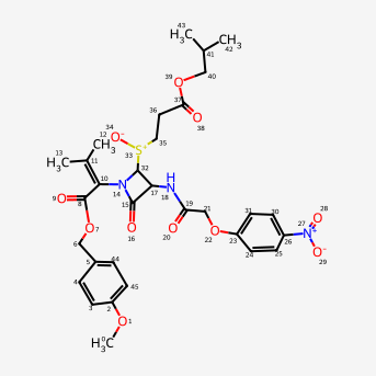 COc1ccc(COC(=O)C(=C(C)C)N2C(=O)C(NC(=O)COc3ccc([N+](=O)[O-])cc3)C2[S+]([O-])CCC(=O)OCC(C)C)cc1